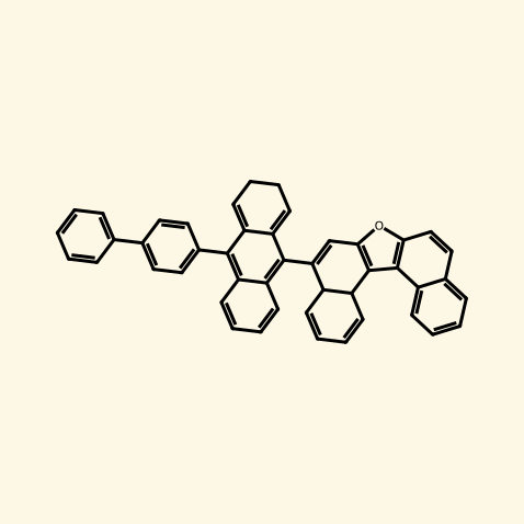 C1=CC2C(c3c4c(c(-c5ccc(-c6ccccc6)cc5)c5ccccc35)=CCCC=4)=Cc3oc4ccc5ccccc5c4c3C2C=C1